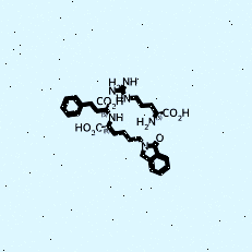 N=C(N)NCCC[C@H](N)C(=O)O.O=C(O)[C@H](CCc1ccccc1)N[C@H](CCCCN1Cc2ccccc2C1=O)C(=O)O